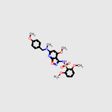 COc1ccc(CN(C)c2cc(OC)c3c(NS(=O)(=O)c4c(OC)cccc4OC)noc3n2)cc1